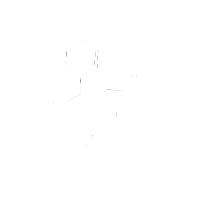 CCO[Si](C)(OCC)C(C)c1ccccc1